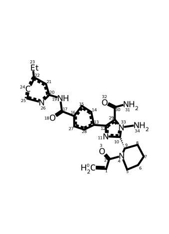 C=CC(=O)N1CCCC[C@H]1c1nc(-c2ccc(C(=O)Nc3cc(CC)ccn3)cc2)c(C(N)=O)n1N